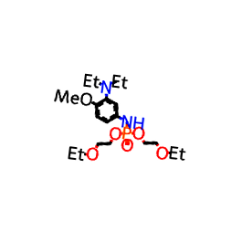 CCOCCOP(=O)(Nc1ccc(OC)c(N(CC)CC)c1)OCCOCC